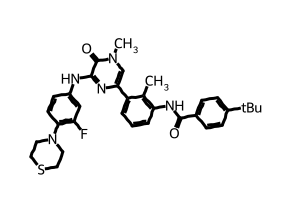 Cc1c(NC(=O)c2ccc(C(C)(C)C)cc2)cccc1-c1cn(C)c(=O)c(Nc2ccc(N3CCSCC3)c(F)c2)n1